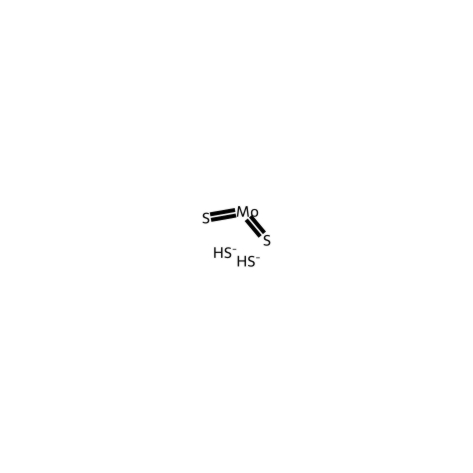 [SH-].[SH-].[S]=[Mo]=[S]